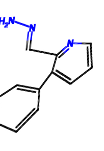 NN=Cc1ncccc1-c1ccccc1